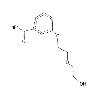 CCCC(=O)c1cccc(OCCOCCO)c1